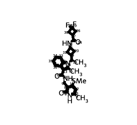 CSc1cc(C)[nH]c(=O)c1CNC(=O)c1c(C)n([C@H](C)C2CC(NC(=O)C3CC(F)(F)C3)C2)c2ccccc12